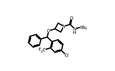 CC(C)(C)NC(=O)N1CC(OC(c2ccccc2)c2ccc(Cl)cc2C(F)(F)F)C1